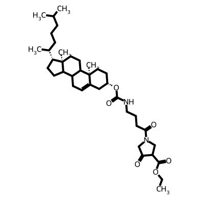 CCOC(=O)C1CN(C(=O)CCCNC(=O)O[C@H]2CC[C@@]3(C)C(=CCC4C3CC[C@@]3(C)C4CC[C@@H]3C(C)CCCC(C)C)C2)CC1=O